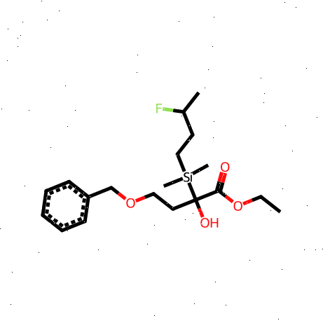 CCOC(=O)C(O)(CCOCc1ccccc1)[Si](C)(C)CCC(C)F